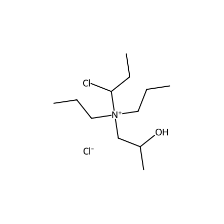 CCC[N+](CCC)(CC(C)O)C(Cl)CC.[Cl-]